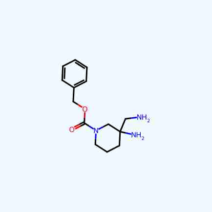 NCC1(N)CCCN(C(=O)OCc2ccccc2)C1